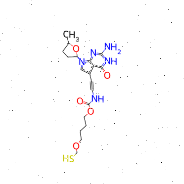 CC1CC[C@H](n2cc(C#CNC(=O)OCCCCOCS)c3c(=O)[nH]c(N)nc32)O1